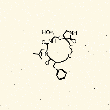 CC(C)C[C@@H]1NC(=O)C(Cc2ccccc2)CCCCCCC2(CCNC2=O)C[C@@H](CO)NC1=O